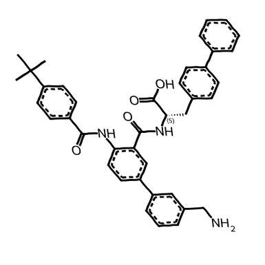 CC(C)(C)c1ccc(C(=O)Nc2ccc(-c3cccc(CN)c3)cc2C(=O)N[C@@H](Cc2ccc(-c3ccccc3)cc2)C(=O)O)cc1